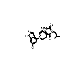 CC(C)CN1C(=O)NC2(CCN(c3cc(Cl)cc4[nH]ncc34)CC2)C1=O